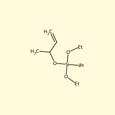 C=CC(C)O[Si](OCC)(OCC)C(C)C